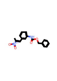 C/C(=C\c1cccc(NC(=O)OCc2ccccc2)c1)[N+](=O)[O-]